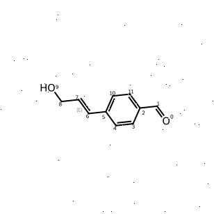 O=Cc1ccc(/C=C/CO)cc1